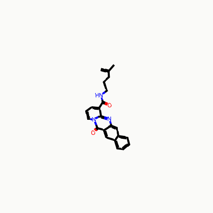 C=C(C)CCCNC(=O)c1cccn2c(=O)c3cc4ccccc4cc3nc12